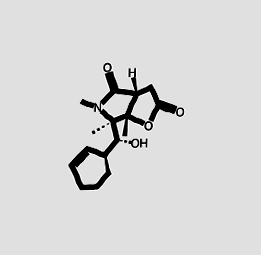 CN1C(=O)[C@@H]2CC(=O)O[C@]2(C)[C@@]1(C)[C@H](O)[C@@H]1C=CCCC1